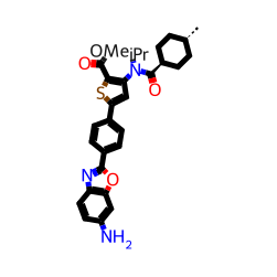 COC(=O)c1sc(-c2ccc(-c3nc4ccc(N)cc4o3)cc2)cc1N(C(=O)[C@H]1CC[C@H](C)CC1)C(C)C